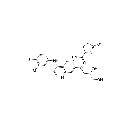 O=C(Nc1cc2c(Nc3ccc(F)c(Cl)c3)ncnc2cc1OCC(O)CO)C1CC[S+]([O-])S1